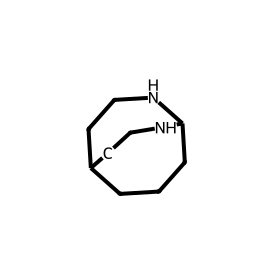 C1CC2CCNC(C1)NCC2